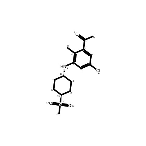 CC(=O)c1cc(Cl)cc(N[C@H]2CC[C@H](S(C)(=O)=O)CC2)c1C